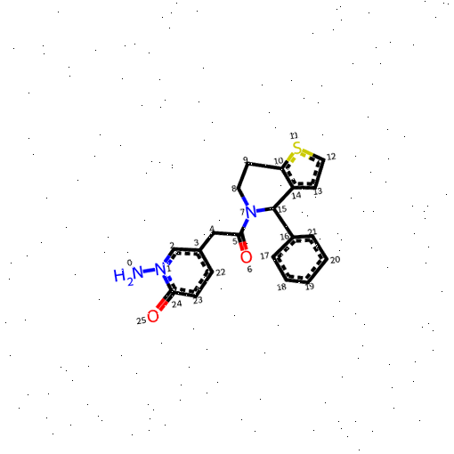 Nn1cc(CC(=O)N2CCc3sccc3C2c2ccccc2)ccc1=O